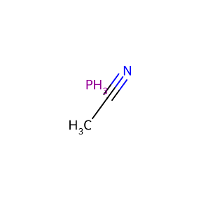 CC#N.P